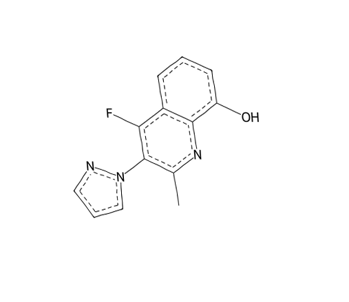 Cc1nc2c(O)cccc2c(F)c1-n1cccn1